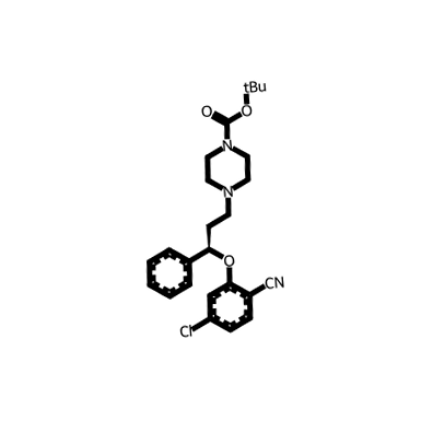 CC(C)(C)OC(=O)N1CCN(CC[C@@H](Oc2cc(Cl)ccc2C#N)c2ccccc2)CC1